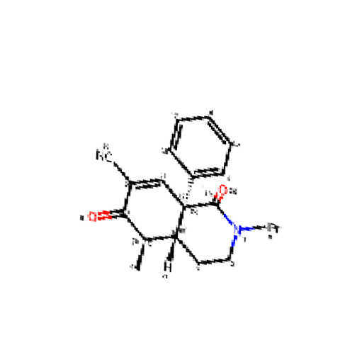 CC(C)N1CC[C@@H]2[C@@H](C)C(=O)C(C#N)=C[C@@]2(c2ccccc2)C1=O